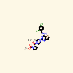 CC(C)(C)OC(=O)N1CCC[C@@H]1C(=O)N1CCN(c2nc(NCc3ccc(Cl)cc3Cl)c3sccc3n2)CC1C(=O)O